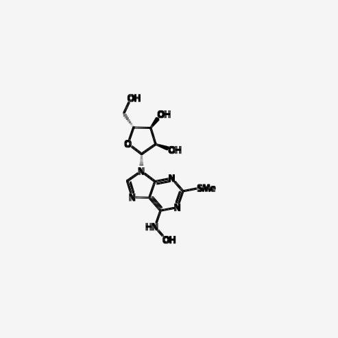 CSc1nc(NO)c2ncn([C@@H]3O[C@H](CO)[C@@H](O)[C@H]3O)c2n1